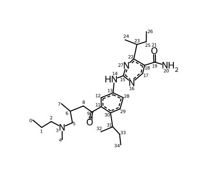 CCCN(C)CC(C)CC(=O)c1cc(Nc2ncc(C(N)=O)c(C(C)CC)n2)ccc1C(C)CC